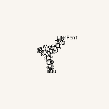 CCCCCNC(=O)Nc1ccc(Oc2ccc(N(CC3CCCO3)C(=O)c3ccc(OC4CCN(CCCC)CC4)cc3)cc2)c(OC)c1